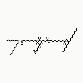 CCCCCCCCC(CCCCCC)OC(=O)CCCCCCCOC(=O)CCC(OC(=O)OCCN(C)C)C(=O)OCCCCCCCC(=O)OC(CCCCCC)CCCCCCCC